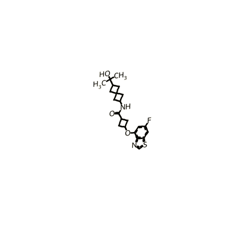 CC(C)(O)C1CC2(CC(NC(=O)C3CC(Oc4cc(F)cc5scnc45)C3)C2)C1